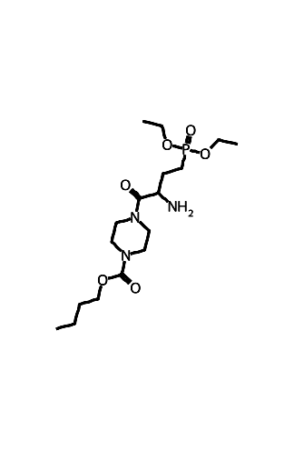 CCCCOC(=O)N1CCN(C(=O)C(N)CCP(=O)(OCC)OCC)CC1